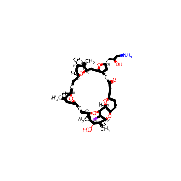 C=C1CC2CC[C@@]3(C)C[C@@H](O)C(C)[C@@H]4OC5CCC(CC(=O)CC6C[C@@H](CC(O)CN)OC6C[C@H]6O[C@@H](CC[C@@H]1O2)C[C@@H](C)C6=C)O[C@@H]5C(O3)C4I